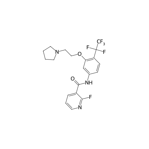 O=C(Nc1ccc(C(F)(F)C(F)(F)F)c(OCCN2CCCC2)c1)c1cccnc1F